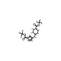 CC(C)(C)OC(=O)N1CCC(Cc2cnn(C(=O)OC(C)(C)C)c2)CC1